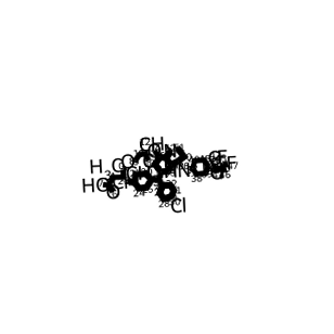 CC(C)(CCC(=O)O)OCCC(C)(C)Oc1cc(C(c2ccc(Cl)cc2)c2ccc(Cl)cc2)cc2c(NC3CCN(S(=O)(=O)C(F)(F)F)CC3)ccnc12